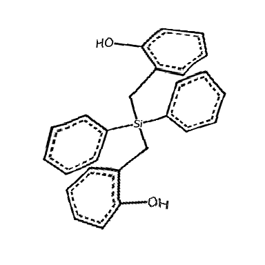 Oc1ccccc1C[Si](Cc1ccccc1O)(c1ccccc1)c1ccccc1